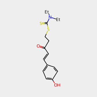 CCN(CC)C(=S)SCCC(=O)C=Cc1ccc(O)cc1